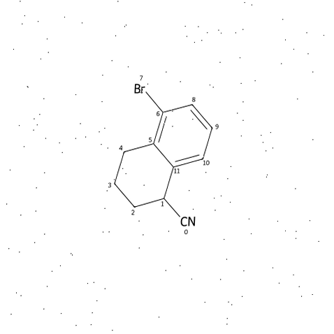 N#CC1CCCc2c(Br)cccc21